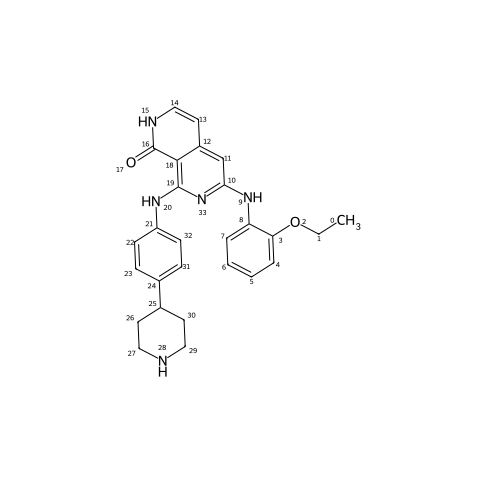 CCOc1ccccc1Nc1cc2cc[nH]c(=O)c2c(Nc2ccc(C3CCNCC3)cc2)n1